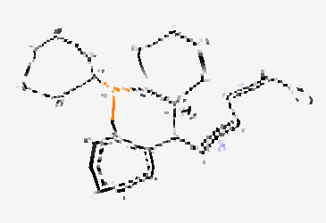 C=C(/C=C\C=C/C)c1ccccc1P(C1CCCCC1)C1CCCCC1